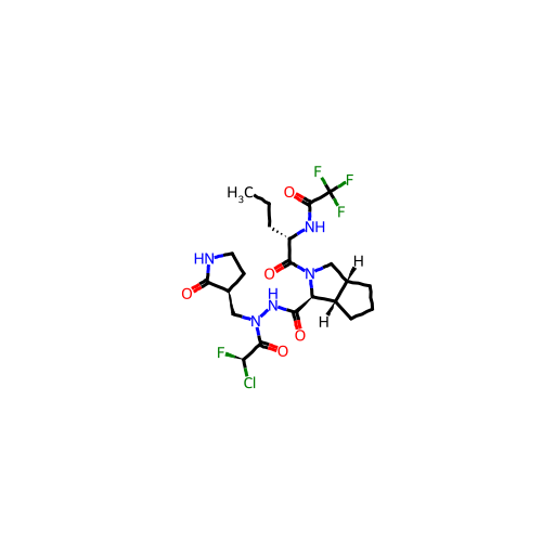 CCC[C@H](NC(=O)C(F)(F)F)C(=O)N1C[C@@H]2CCC[C@@H]2[C@H]1C(=O)NN(C[C@@H]1CCNC1=O)C(=O)[C@H](F)Cl